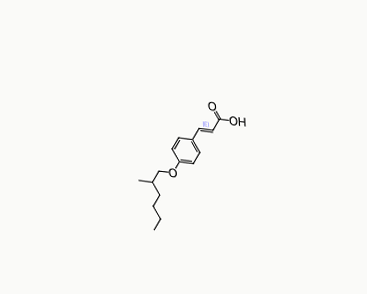 CCCCC(C)COc1ccc(/C=C/C(=O)O)cc1